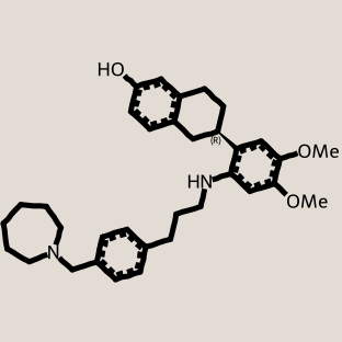 COc1cc(NCCCc2ccc(CN3CCCCCC3)cc2)c([C@@H]2CCc3cc(O)ccc3C2)cc1OC